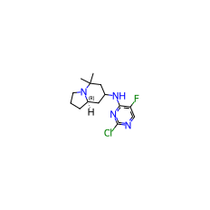 CC1(C)CC(Nc2nc(Cl)ncc2F)C[C@H]2CCCN21